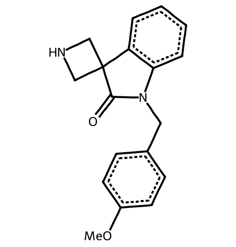 COc1ccc(CN2C(=O)C3(CNC3)c3ccccc32)cc1